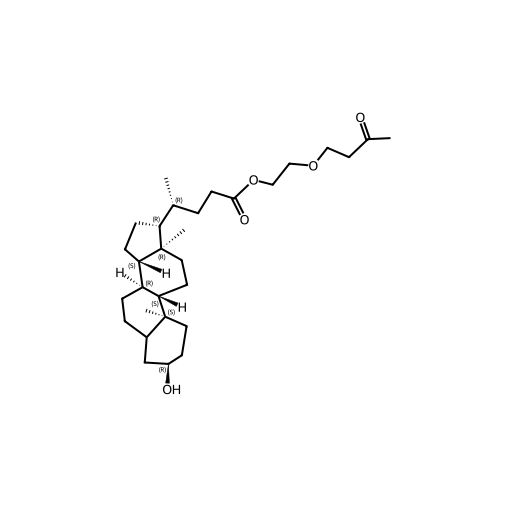 CC(=O)CCOCCOC(=O)CC[C@@H](C)[C@H]1CC[C@H]2[C@@H]3CCC4C[C@H](O)CC[C@]4(C)[C@H]3CC[C@]12C